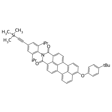 CC(C)c1cc(C#C[Si](C)(C)C)cc(C(C)C)c1N1C(=O)c2ccc3c4cccc5c(Oc6ccc(C(C)(C)C)cc6)ccc(c6ccc(c2c36)C1=O)c54